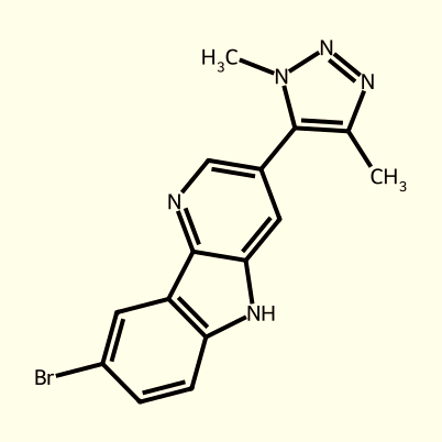 Cc1nnn(C)c1-c1cnc2c(c1)[nH]c1ccc(Br)cc12